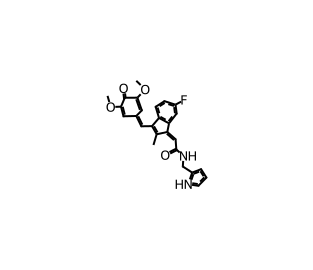 COC1=CC(=CC2=C(C)C(=CC(=O)NCc3ccc[nH]3)c3cc(F)ccc32)C=C(OC)C1=O